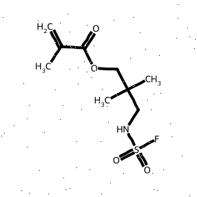 C=C(C)C(=O)OCC(C)(C)CNS(=O)(=O)F